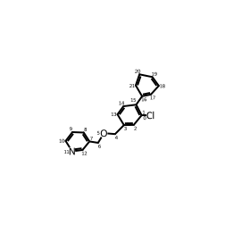 Clc1cc(COCc2cccnc2)ccc1-c1ccccc1